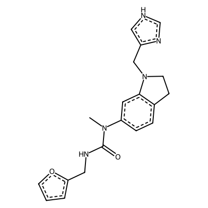 CN(C(=O)NCc1ccco1)c1ccc2c(c1)N(Cc1c[nH]cn1)CC2